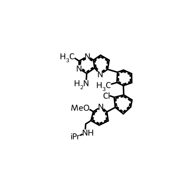 COc1nc(-c2cccc(-c3cccc(-c4ccc5nc(C)nc(N)c5n4)c3C)c2Cl)ccc1CNC(C)C